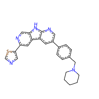 c1ncc(-c2cc3c(cn2)[nH]c2ncc(-c4ccc(CN5CCCCC5)cc4)cc23)s1